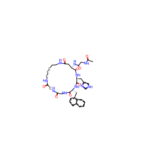 CC(=O)NCC(=O)N[C@H]1CC(=O)NCCCCCNC(=O)CNC(=O)CNC(=O)[C@@H](Cc2cccc3ccccc23)NC(=O)[C@H](Cc2c[nH]cn2)NC1=O